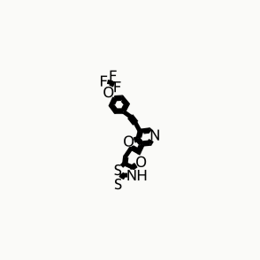 O=C1NC(=S)S/C1=C/c1cc2cncc(C#Cc3ccc(OC(F)(F)F)cc3)c2o1